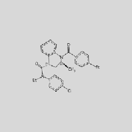 CCc1ccc(C(=O)N2c3ccccc3[C@@H](C(=O)N(CC)c3ccc(Cl)cc3)C[C@@H]2C)cc1